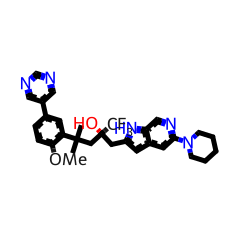 COc1ccc(-c2cncnc2)cc1C(C)(C)CC(O)(Cc1cc2cc(N3CCCCC3)ncc2[nH]1)C(F)(F)F